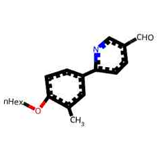 CCCCCCOc1ccc(-c2ccc(C=O)cn2)cc1C